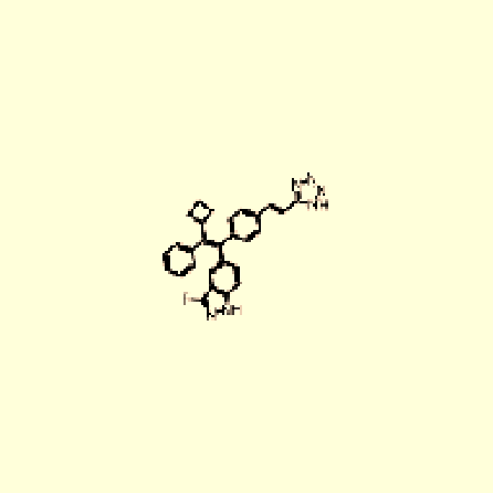 Fc1n[nH]c2ccc(C(=C(c3ccccc3)C3CCC3)c3ccc(C=Cc4nnn[nH]4)cc3)cc12